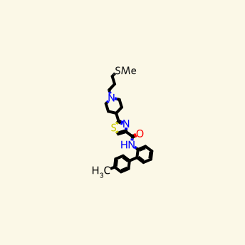 CSCCCN1CCC(c2nc(C(=O)Nc3ccccc3-c3ccc(C)cc3)cs2)CC1